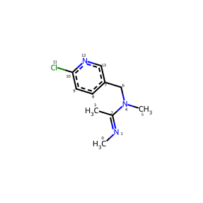 C/N=C(\C)N(C)Cc1ccc(Cl)nc1